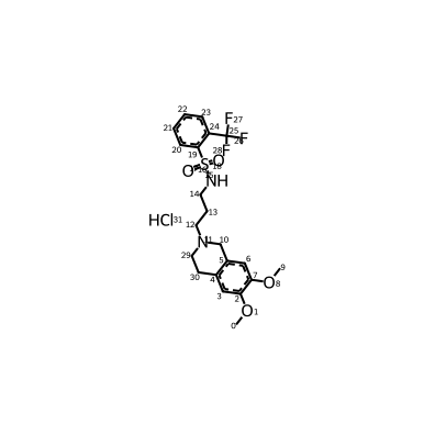 COc1cc2c(cc1OC)CN(CCCNS(=O)(=O)c1ccccc1C(F)(F)F)CC2.Cl